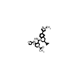 CC(=O)N1CCC(NC2CCOC2)=C(C(=N)N2CC(C3CC3)Cc3cc(-c4cnn(C)c4)ccc32)C1